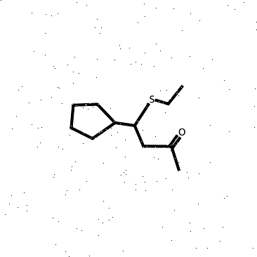 CCSC(CC(C)=O)C1CCCC1